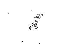 Cc1ccc(S(=O)(=O)NCCN2CCC(Cc3ccccc3)(OC(=O)NCc3cncs3)CC2)cc1